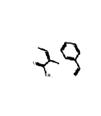 C=Cc1ccccc1.CC=C(C)C(N)=O